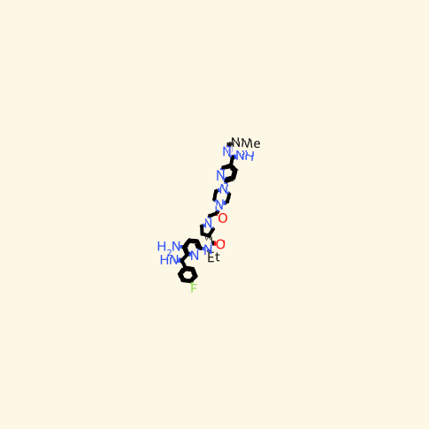 CCN(C(=O)[C@@H]1CCN(CC(=O)N2CCN(c3ccc(C(=N)/N=C\NC)cn3)CC2)C1)c1ccc(N)c(C(=N)c2ccc(F)cc2)n1